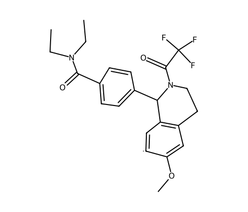 CCN(CC)C(=O)c1ccc(C2c3c[c]c(OC)cc3CCN2C(=O)C(F)(F)F)cc1